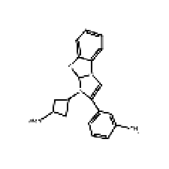 CNC1CC(N2C(c3cccc(C)c3)=CN3c4ccccc4SC32)C1